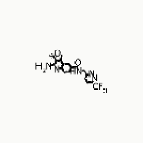 C[C@H]1OCc2c1c(N)nc1ccc(C(=O)NCc3ccc(C(F)(F)F)nn3)cc21